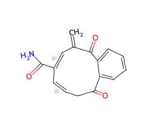 C=C1/C=C(C(N)=O)\C=C/CC(=O)c2ccccc2C1=O